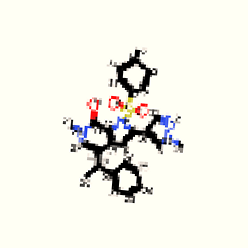 Cc1ccc(S(=O)(=O)n2c(-c3cnn(C)c3)cc3c(C(C)c4ccccc4)cn(C)c(=O)c32)cc1